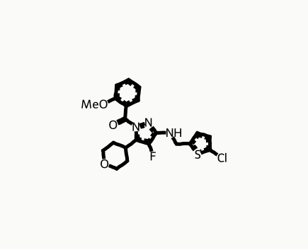 COc1ccccc1C(=O)n1nc(NCc2ccc(Cl)s2)c(F)c1C1CCOCC1